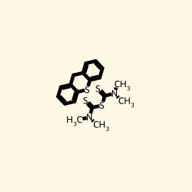 CN(C)C(=S)SC(=S)N(C)C.c1ccc2c(c1)Cc1ccccc1S2